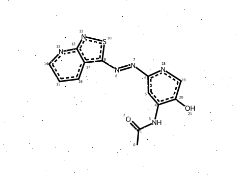 CC(=O)Nc1cc(/N=N/c2snc3ncccc23)ncc1O